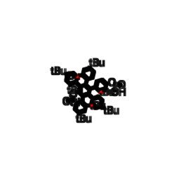 CC(C)(C)c1ccc(-c2c(O[P](=O)O)c(-c3ccc(C(C)(C)C)cc3C(C)(C)C)c(-c3ccc(C(C)(C)C)cc3C(C)(C)C)c(-c3ccc(O[P](=O)O)cc3)c2-c2ccc(C(C)(C)C)cc2C(C)(C)C)c(C(C)(C)C)c1